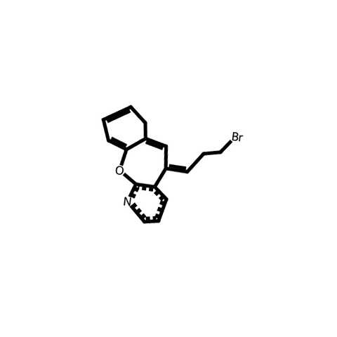 BrCCC=C1C=C2CC=CC=C2Oc2ncccc21